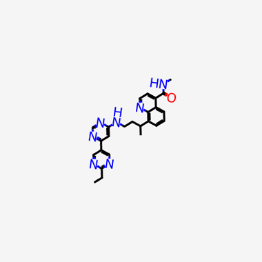 CCc1ncc(-c2cc(NCCC(C)c3cccc4c(C(=O)NC)ccnc34)ncn2)cn1